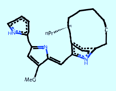 CCC[C@@H]1CCCCCCc2cc1c(C=C1N=C(c3ccc[nH]3)C=C1OC)[nH]2